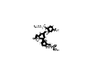 CCOC(=O)Cc1ccc(C(C)=O)cc1OCc1cc(-c2cccc(CN[S+]([O-])C(C)(C)C)c2)c2oc(F)cc2c1